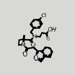 CC1(C(=O)N(CCC(=O)O)Cc2ccc(Cl)cc2)CCN1C(=O)Cc1occ2ccccc12